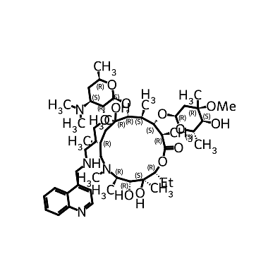 CC[C@H]1OC(=O)[C@H](C)[C@@H](O[C@H]2C[C@@](C)(OC)[C@@H](O)[C@H](C)O2)[C@H](C)[C@@H](O[C@@H]2O[C@H](C)C[C@H](N(C)C)[C@H]2OCCCNCc2ccnc3ccccc23)[C@](C)(O)C[C@@H](C)CN(C)[C@H](C)[C@@H](O)[C@]1(C)O